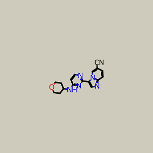 N#Cc1ccc2ncc(-c3nccc(NC4CCOCC4)n3)n2c1